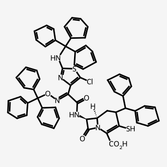 O=C(O)C1=C(S)C(C(c2ccccc2)c2ccccc2)C[C@@H]2[C@H](NC(=O)C(=NOC(c3ccccc3)(c3ccccc3)c3ccccc3)c3nc(NC(c4ccccc4)(c4ccccc4)c4ccccc4)sc3Cl)C(=O)N12